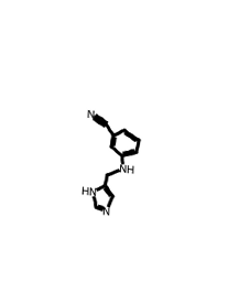 N#Cc1cccc(NCc2cnc[nH]2)c1